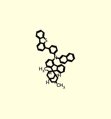 C[C@H]1C[C@@H]2C[C@H](C1)C1(c3ccccc3-c3c(N(c4cccc(-c5cccc6c5sc5ccccc56)c4)c4ccc5ccccc5c4)cccc31)[C@H](C)C2